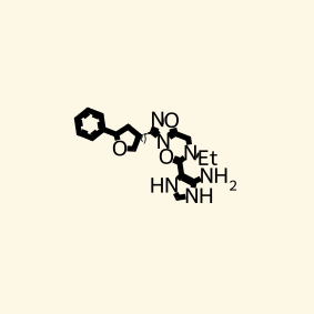 CCN(Cc1nc([C@@H]2COC(c3ccccc3)C2)no1)C(=O)C1=C(N)NCN1